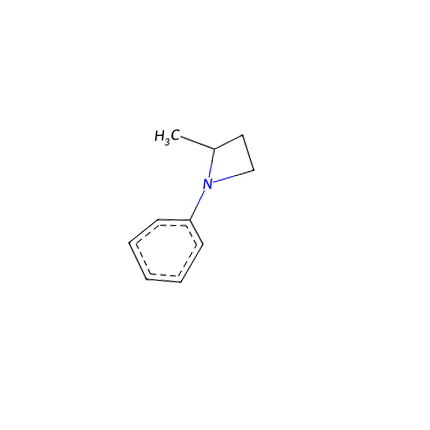 CC1CCN1c1ccccc1